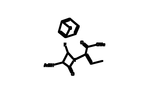 CC=C(C(=O)OC)N1C(=O)C(NC(C)=O)C1F.c1cc2cc(c1)O2